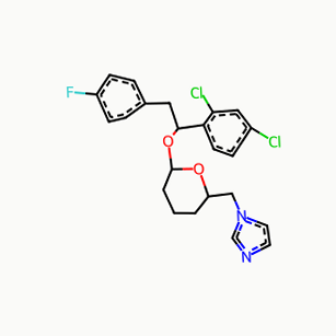 Fc1ccc(CC(OC2CCCC(Cn3ccnc3)O2)c2ccc(Cl)cc2Cl)cc1